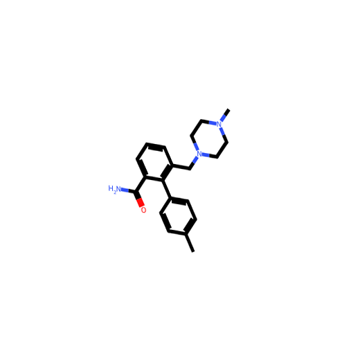 Cc1ccc(-c2c(CN3CCN(C)CC3)cccc2C(N)=O)cc1